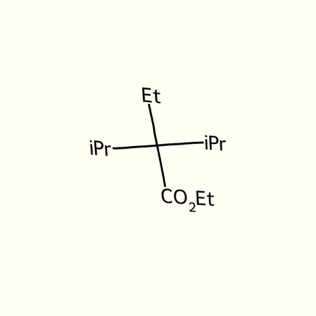 CCOC(=O)C(CC)(C(C)C)C(C)C